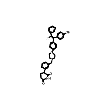 CCC(=C(c1ccc(O)cc1)c1ccc(N2CCN(Cc3cccc(C4CCC(=O)NC4=O)c3)CC2)cc1)c1ccccc1